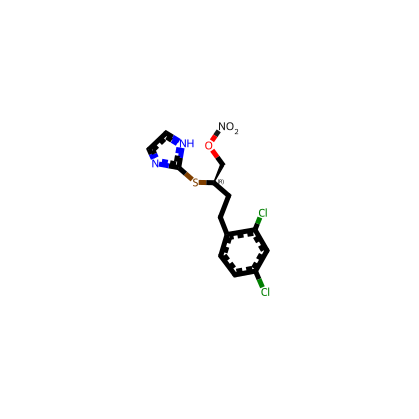 O=[N+]([O-])OC[C@@H](CCc1ccc(Cl)cc1Cl)Sc1ncc[nH]1